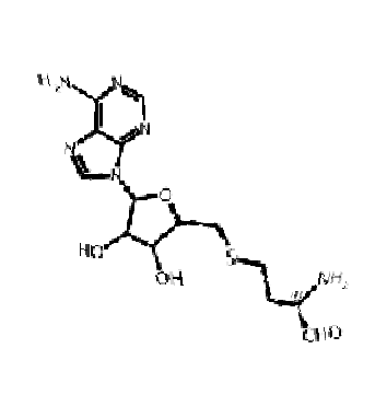 Nc1ncnc2c1ncn2C1OC(CSCC[C@@H](N)C=O)C(O)C1O